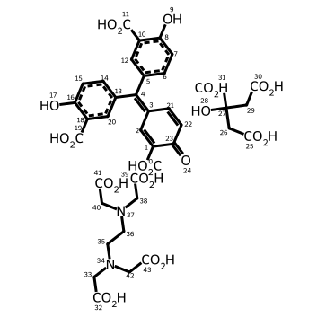 O=C(O)C1=CC(=C(c2ccc(O)c(C(=O)O)c2)c2ccc(O)c(C(=O)O)c2)C=CC1=O.O=C(O)CC(O)(CC(=O)O)C(=O)O.O=C(O)CN(CCN(CC(=O)O)CC(=O)O)CC(=O)O